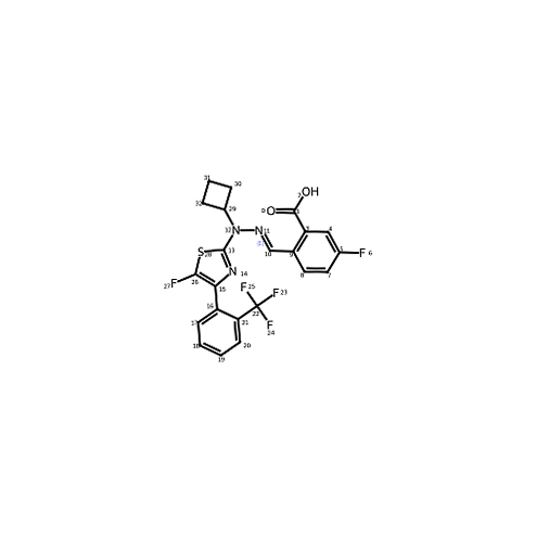 O=C(O)c1cc(F)ccc1/C=N/N(c1nc(-c2ccccc2C(F)(F)F)c(F)s1)C1CCC1